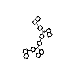 c1ccc2c(-c3ccc(N(c4ccc(-c5ccc(N(c6ccc(-c7cccc8ccccc78)cc6)c6cccc7ccccc67)cc5)cc4)c4cccc5ccccc45)cc3)cccc2c1